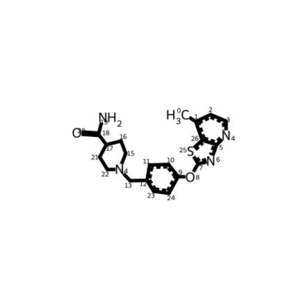 Cc1ccnc2nc(Oc3ccc(CN4CCC(C(N)=O)CC4)cc3)sc12